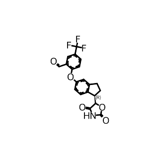 O=Cc1cc(C(F)(F)F)ccc1Oc1ccc2c(c1)CC[C@H]2C1OC(=O)NC1=O